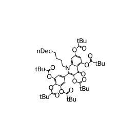 CCCCCCCCCCCCCCn1c(-c2cc(OC(=O)C(C)(C)C)c(OC(=O)C(C)(C)C)c(OC(=O)C(C)(C)C)c2)c(OC(=O)C(C)(C)C)c(=O)c2c(OC(=O)C(C)(C)C)cc(OC(=O)C(C)(C)C)cc21